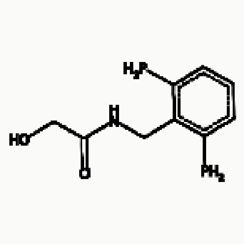 O=C(CO)NCc1c(P)cccc1P